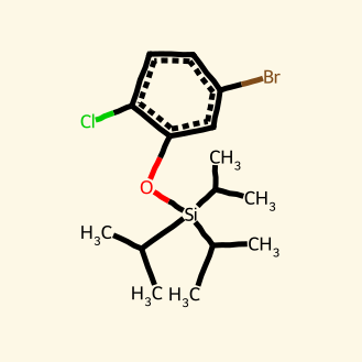 CC(C)[Si](Oc1cc(Br)ccc1Cl)(C(C)C)C(C)C